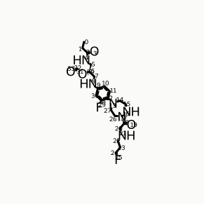 CCC(=O)NC[C@@H](CNc1ccc(N2CCNN(C(=O)CNCCCF)CC2)c(F)c1)OC=O